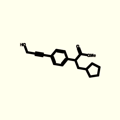 COC(=O)C(CC1CCCC1)c1ccc(C#CCO)cc1